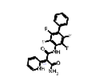 NC(=O)/C(C(=O)Nc1c(F)c(F)c(-c2ccccc2)c(F)c1F)=C1/C=CC=CN1